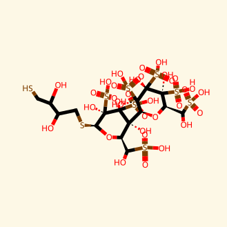 O=S(=O)(O)C(O)[C@H]1O[C@@H](SCC(O)C(O)CS)[C@@](O)(S(=O)(=O)O)[C@](O)(S(=O)(=O)O)[C@@]1(O)[C@@H]1O[C@H](C(O)S(=O)(=O)O)[C@](O)(S(=O)(=O)O)[C@@](O)(S(=O)(=O)O)[C@]1(O)S(=O)(=O)O